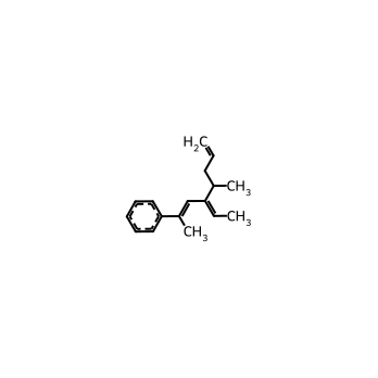 C=CCC(C)C(C=C(C)c1ccccc1)=CC